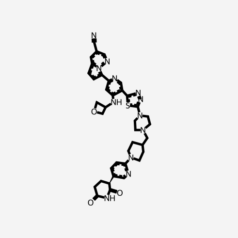 N#Cc1cnn2c(-c3cc(NC4COC4)c(-c4nnc(N5CCN(CC6CCN(c7ccc([C@@H]8CCC(=O)NC8=O)cn7)CC6)CC5)s4)cn3)ccc2c1